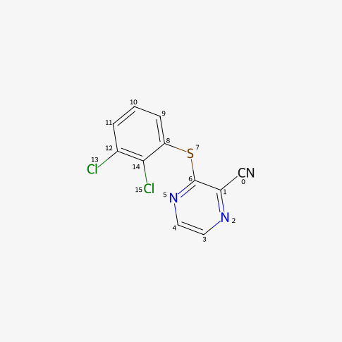 N#Cc1nccnc1Sc1cccc(Cl)c1Cl